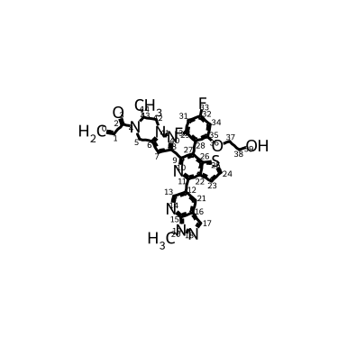 C=CC(=O)N1Cc2cc(-c3nc(-c4cnc5c(cnn5C)c4)c4ccsc4c3-c3c(F)cc(F)cc3OCCO)nn2C[C@H]1C